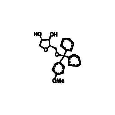 COc1ccc(C(OC[C@H]2OC[C@H](O)[C@H]2O)(c2ccccc2)c2ccccc2)cc1